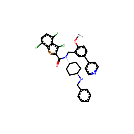 COc1ccc(-c2ccncc2)cc1CN(C(=O)c1sc2c(F)ccc(F)c2c1Cl)[C@H]1CC[C@H](NCc2ccccc2)CC1